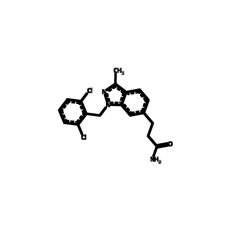 Cc1nn(Cc2c(Cl)cccc2Cl)c2cc(CCC(N)=O)ccc12